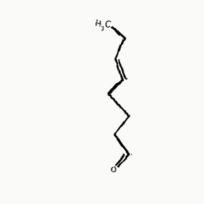 CCC=CCCC[C]=O